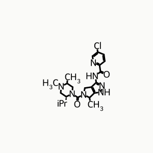 CC(C)[C@H]1CN(C)C(C)CN1C(=O)N1Cc2c(NC(=O)c3ccc(Cl)cn3)n[nH]c2C1C